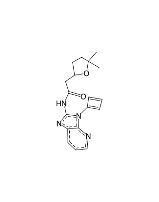 CC1(C)CCC(CC(=O)Nc2nc3cccnc3n2C2=CC=C2)O1